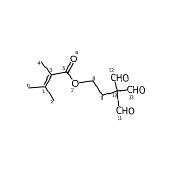 CC(C)=C(C)C(=O)OCCC(C=O)(C=O)C=O